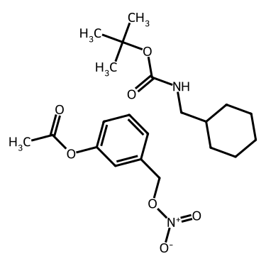 CC(=O)Oc1cccc(CO[N+](=O)[O-])c1.CC(C)(C)OC(=O)NCC1CCCCC1